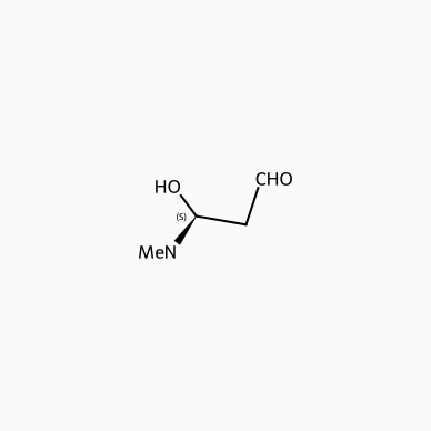 CN[C@@H](O)CC=O